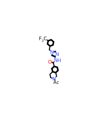 CC(=O)N1CCc2cc(C(=O)Nc3cn(Cc4cccc(C(F)(F)F)c4)cn3)ccc2C1